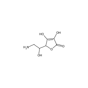 NCC(O)C1OC(=O)C(O)=C1O